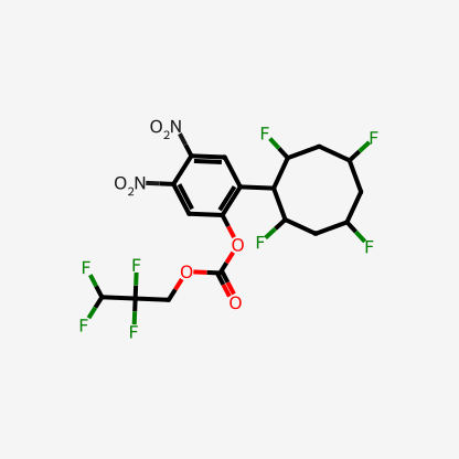 O=C(OCC(F)(F)C(F)F)Oc1cc([N+](=O)[O-])c([N+](=O)[O-])cc1C1C(F)CC(F)CC(F)CC1F